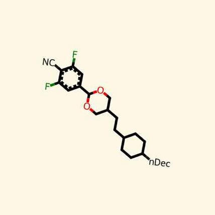 CCCCCCCCCCC1CCC(CCC2COC(c3cc(F)c(C#N)c(F)c3)OC2)CC1